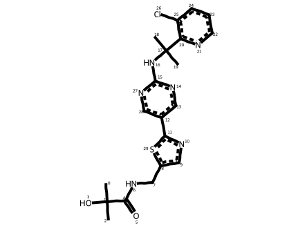 CC(C)(O)C(=O)NCc1cnc(-c2cnc(NC(C)(C)c3ncccc3Cl)nc2)s1